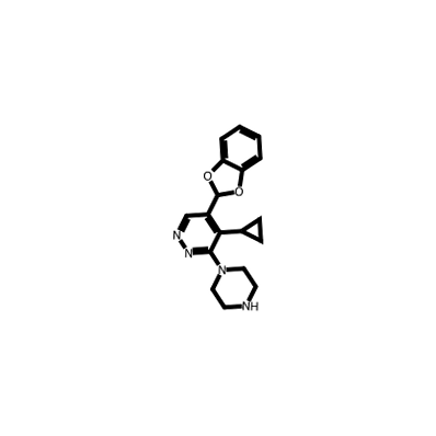 c1ccc2c(c1)OC(c1cnnc(N3CCNCC3)c1C1CC1)O2